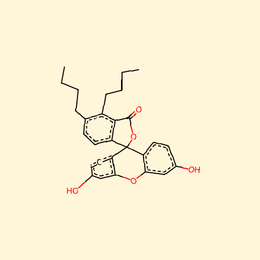 CCCCc1ccc2c(c1CCCC)C(=O)OC21c2ccc(O)cc2Oc2cc(O)ccc21